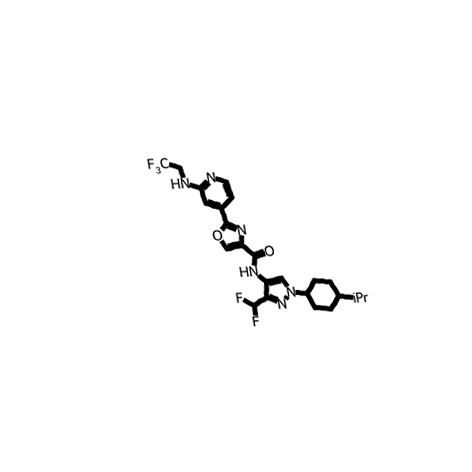 CC(C)C1CCC(n2cc(NC(=O)c3coc(-c4ccnc(NCC(F)(F)F)c4)n3)c(C(F)F)n2)CC1